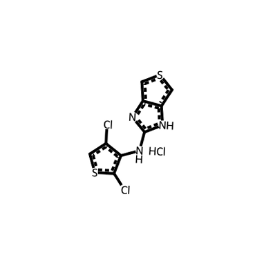 Cl.Clc1csc(Cl)c1Nc1nc2cscc2[nH]1